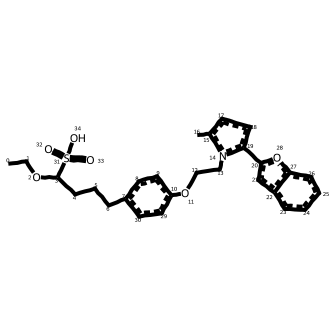 CCOC(CCCc1ccc(OCCn2c(C)ccc2-c2cc3ccccc3o2)cc1)S(=O)(=O)O